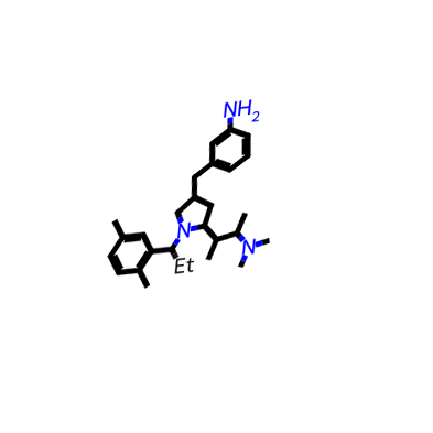 CCC(c1cc(C)ccc1C)N1CC(Cc2cccc(N)c2)CC1C(C)C(C)N(C)C